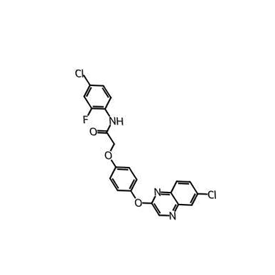 O=C(COc1ccc(Oc2cnc3cc(Cl)ccc3n2)cc1)Nc1ccc(Cl)cc1F